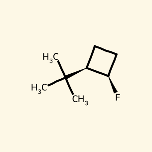 CC(C)(C)[C@H]1CC[C@H]1F